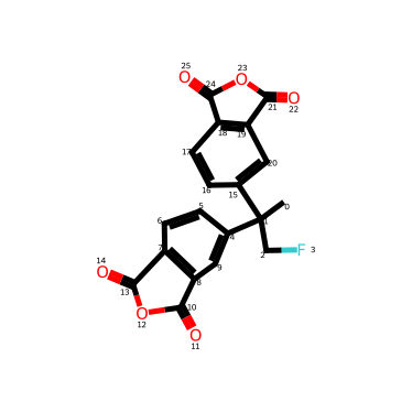 CC(CF)(c1ccc2c(c1)C(=O)OC2=O)c1ccc2c(c1)C(=O)OC2=O